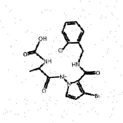 CC(NC(=O)O)C(=O)Nn1ccc(Br)c1C(=O)NCc1ccccc1Cl